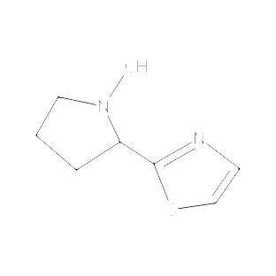 CN1CCCC1c1nccs1